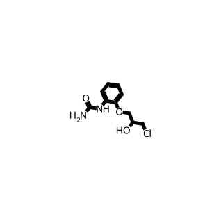 NC(=O)Nc1ccccc1OCC(O)CCl